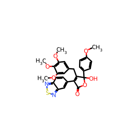 COc1ccc(C2(O)OC(=O)C(c3ccc4nsnc4c3)=C2Cc2cc(OC)c(OC)c(OC)c2)cc1